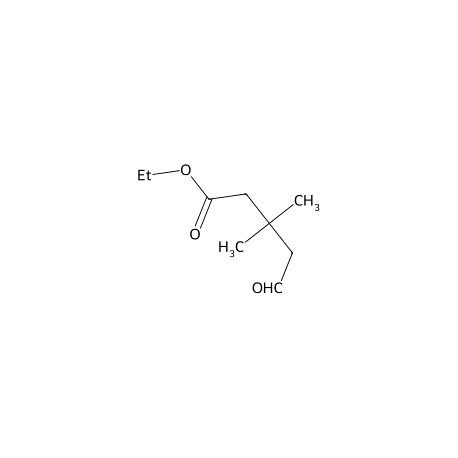 CCOC(=O)CC(C)(C)CC=O